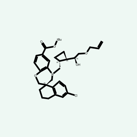 C=CCOC[C@@H](O)[C@@H]1CC[C@H]1CN1C[C@@]2(CCCc3cc(Cl)ccc32)COc2ccc(C(=O)OC(C)(C)C)cc21